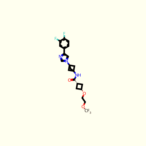 O=C(NC12CC(n3cnc(-c4ccc(F)c(F)c4)c3)(C1)C2)[C@H]1C[C@@H](OCCOC(F)(F)F)C1